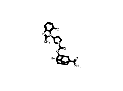 Cc1nc2cccc(Cl)c2n1C1CCN(C(=O)OC2C3CC4C[C@@H]2CC(C(N)=O)(C4)C3)C1